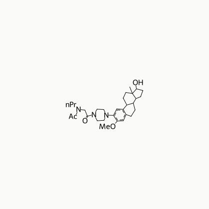 CCCN(CC(=O)N1CCN(c2cc3c(cc2OC)CCC2C3CCC3(C)C(O)CCC23)CC1)C(C)=O